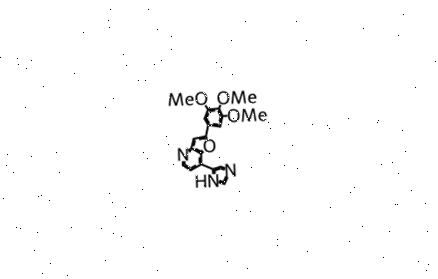 COc1cc(-c2cc3nccc(-c4cnc[nH]4)c3o2)cc(OC)c1OC